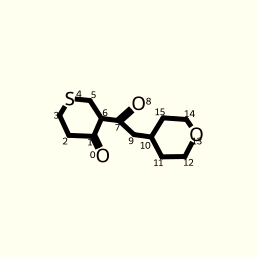 O=C1CCSCC1C(=O)CC1CCOCC1